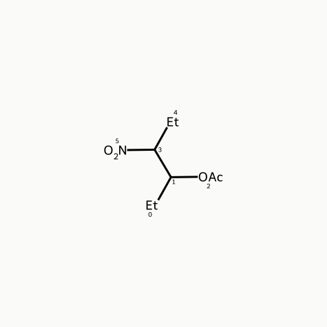 CCC(OC(C)=O)C(CC)[N+](=O)[O-]